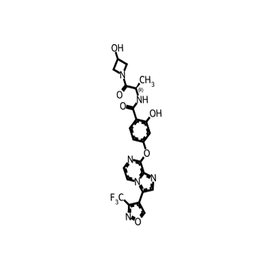 C[C@@H](NC(=O)c1ccc(Oc2nccn3c(-c4conc4C(F)(F)F)cnc23)cc1O)C(=O)N1CC(O)C1